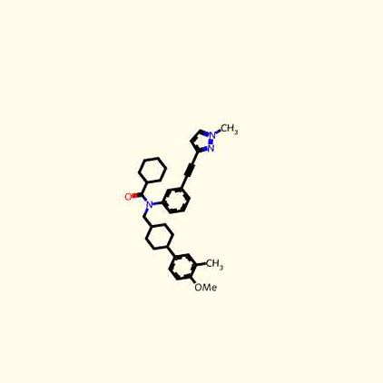 COc1ccc(C2CCC(CN(C(=O)C3CCCCC3)c3cccc(C#Cc4ccn(C)n4)c3)CC2)cc1C